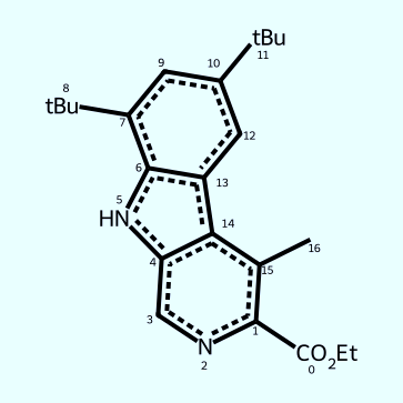 CCOC(=O)c1ncc2[nH]c3c(C(C)(C)C)cc(C(C)(C)C)cc3c2c1C